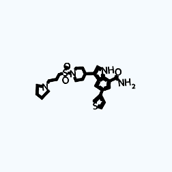 NC(=O)c1cc(-c2ccsc2)cc2c(C3CCN(S(=O)(=O)CCCN4CCCC4)CC3)c[nH]c12